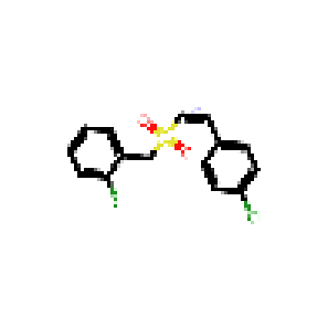 O=S(=O)(/C=C\c1ccc(Cl)cc1)Cc1ccccc1Cl